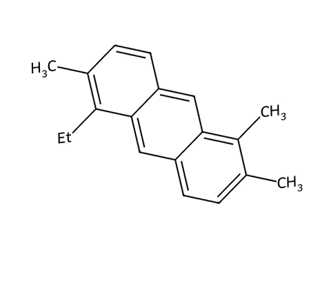 CCc1c(C)ccc2cc3c(C)c(C)ccc3cc12